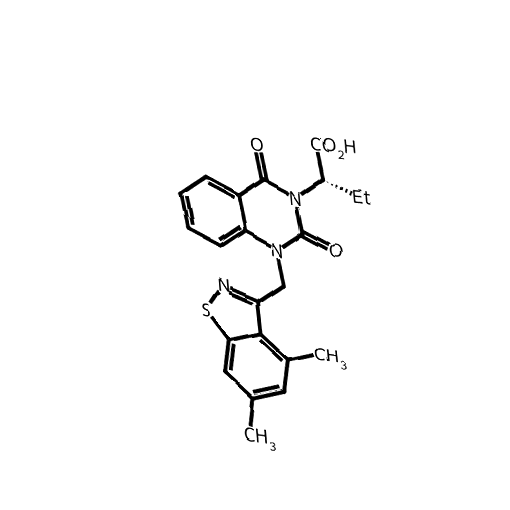 CC[C@@H](C(=O)O)n1c(=O)c2ccccc2n(Cc2nsc3cc(C)cc(C)c23)c1=O